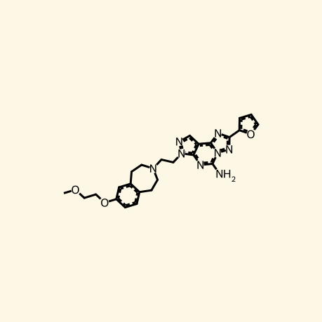 COCCOc1ccc2c(c1)CCN(CCn1ncc3c1nc(N)n1nc(-c4ccco4)nc31)CC2